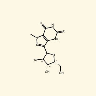 Cn1nc(C2O[C@H](CO)[C@H](O)[C@H]2O)c2[nH]c(=O)[nH]c(=O)c21